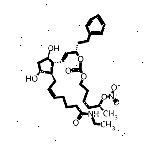 CCNC(=O)CCC/C=C\C[C@@H]1[C@@H](/C=C/[C@H](CCc2ccccc2)OC(=O)OCCCC[C@H](C)O[N+](=O)[O-])[C@H](O)C[C@@H]1O